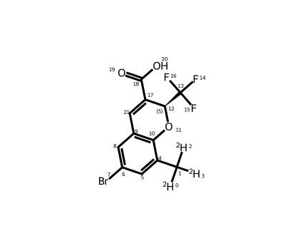 [2H]C([2H])([2H])c1cc(Br)cc2c1O[C@H](C(F)(F)F)C(C(=O)O)=C2